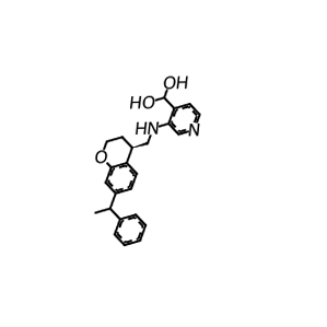 CC(c1ccccc1)c1ccc2c(c1)OCC[C@H]2CNc1cnccc1C(O)O